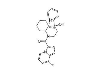 O=C(c1ncc2c(F)cccn12)N1CC[C@@](O)(c2ccccc2)[C@@H]2CCCCC21